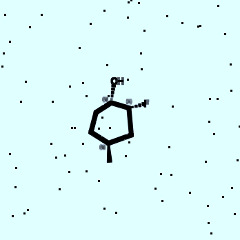 C[C@H]1CC[C@H](O)[C@H](F)C1